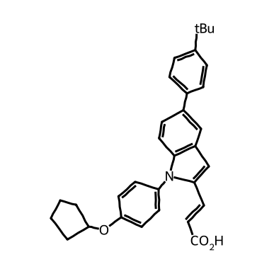 CC(C)(C)c1ccc(-c2ccc3c(c2)cc(/C=C/C(=O)O)n3-c2ccc(OC3CCCC3)cc2)cc1